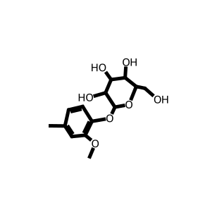 COc1cc(C)ccc1OC1OC(CO)C(O)C(O)C1O